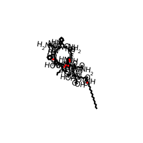 CCCCCCCCCCCCCCCC(=O)NS(=O)(=O)CCCC(=O)N[C@@H](CCC(=O)O)C(=O)N[C@@H](CCC(=O)O)C(=O)N[C@@H](CCC(N)=O)C(=O)N[C@@H](Cc1c[nH]cn1)C(=O)N[C@@H](CO)C(=O)N[C@@H](CCCC)C(=O)N[C@H]1CCC(=O)CNCCCC[C@@H](C(N)=O)NC(=O)[C@H](Cc2c[nH]c3ccccc23)NC(=O)[C@H](CCCNC(=N)N)NC(=O)[C@@H](Cc2ccccc2)NC(=O)[C@@H]2C[C@@H](O)CN2C1=O